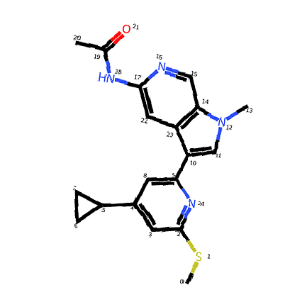 CSc1cc(C2CC2)cc(-c2cn(C)c3cnc(NC(C)=O)cc23)n1